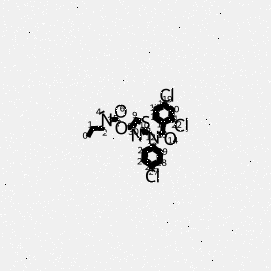 CCCN(C)C(=O)Oc1csc(N(C(=O)c2ccc(Cl)cc2Cl)c2ccc(Cl)cc2)n1